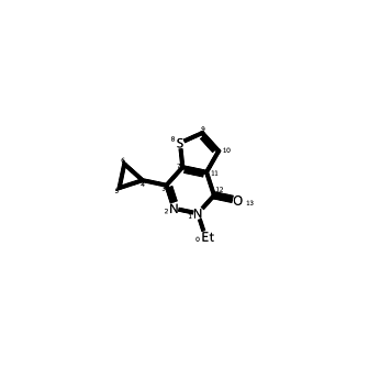 CCn1nc(C2CC2)c2sccc2c1=O